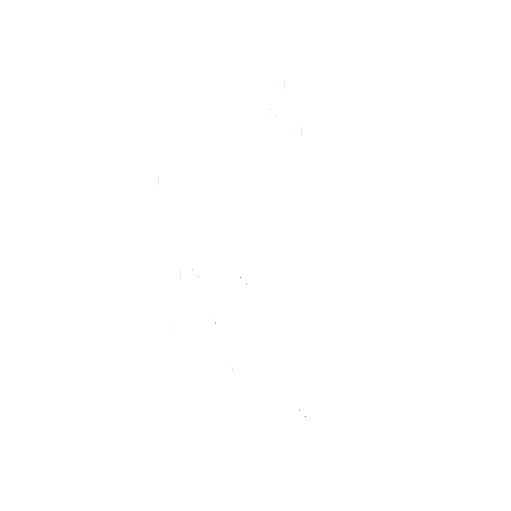 CN(C)CCOc1ccc(NC2N=CC3=C(N2C)N(C2CCCC2)C(=O)C2(CC(=O)NC2=O)C3)cc1F